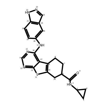 O=C(NC1CC1)C1CCc2c(sc3ncnc(Nc4ccc5[nH]ncc5c4)c23)C1